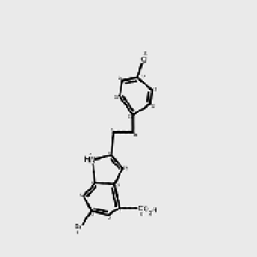 O=C(O)c1cc(Br)cc2[nH]c(CCc3ccc(Cl)cc3)cc12